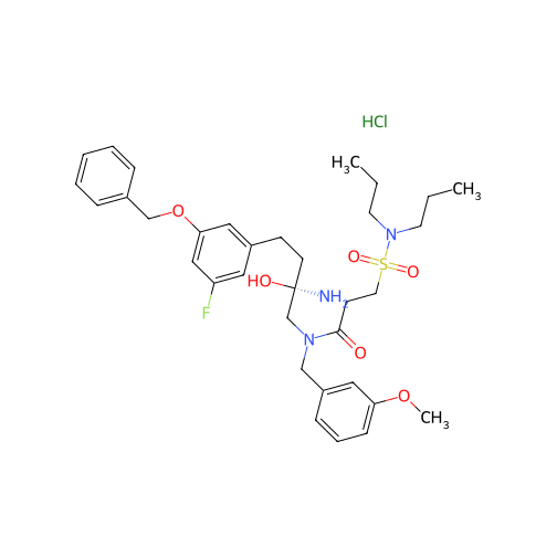 CCCN(CCC)S(=O)(=O)CCC(=O)N(Cc1cccc(OC)c1)C[C@@](N)(O)CCc1cc(F)cc(OCc2ccccc2)c1.Cl